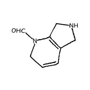 O=CN1CC=CC2=C1CNC2